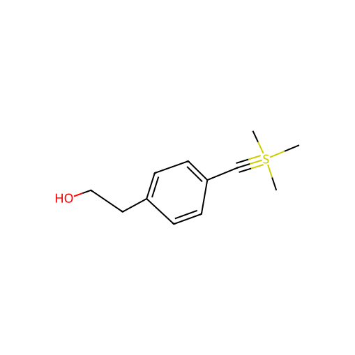 CS(C)(C)#Cc1ccc(CCO)cc1